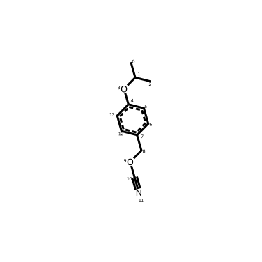 CC(C)Oc1ccc(COC#N)cc1